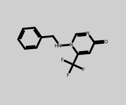 O=c1cc(C(F)(F)F)n(NCc2ccccc2)cn1